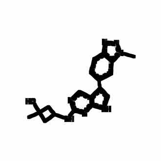 Cn1nnc2ccc(-c3c[nH]c4nc(NC5CC(C)(O)C5)ncc34)cc21